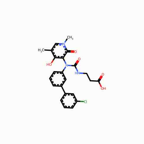 Cc1cn(C)c(=O)c(N(C(=O)NCCC(=O)O)c2cccc(-c3cccc(Cl)c3)c2)c1O